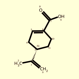 C=C(C)[C@@H]1CC=C(C(=O)O)CC1